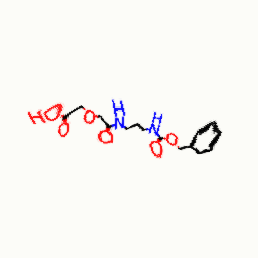 O=C(O)COCC(=O)NCCCNC(=O)OCc1ccccc1